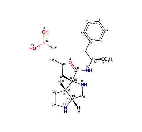 O=C(O)[C@H](Cc1ccccc1)NC(=O)[C@]1(CCCCB(O)O)NC[C@@H]2NCC[C@@H]21